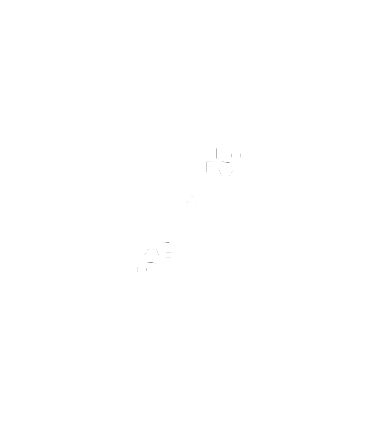 CCOc1ccc(C2=CCC(C3CCC(OCC4CCC(c5ccc(OCC)c(F)c5F)CC4)CC3)CC2)c(F)c1F